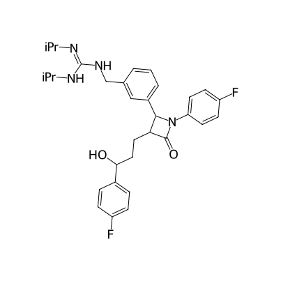 CC(C)/N=C(/NCc1cccc(C2C(CCC(O)c3ccc(F)cc3)C(=O)N2c2ccc(F)cc2)c1)NC(C)C